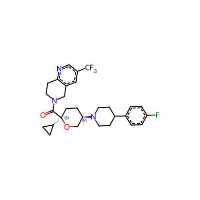 O=C(N1CCc2ncc(C(F)(F)F)cc2C1)[C@@]1(C2CC2)CC[C@@H](N2CCC(c3ccc(F)cc3)CC2)CO1